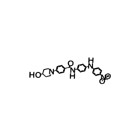 O=C(Nc1ccc(Nc2ccc([N+](=O)[O-])cc2)cc1)c1ccc(N2CCC(O)CC2)cc1